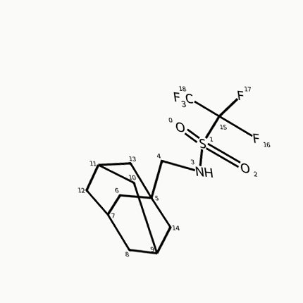 O=S(=O)(NCC12CC3CC(CC(C3)C1)C2)C(F)(F)C(F)(F)F